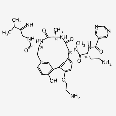 CC(C)C(=N)CNC(=O)[C@H]1Cc2ccc(O)c(c2)-c2cc(ccc2OCCN)[C@@H](N(C)C(=O)[C@@H](CCN)NC(=O)c2cncnc2)C(=O)N[C@H](C)C(=O)N1